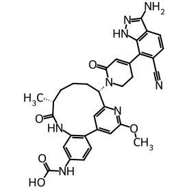 COc1cc2cc(n1)[C@@H](N1CCC(c3c(C#N)ccc4c(N)n[nH]c34)=CC1=O)CCC[C@@H](C)C(=O)Nc1cc(NC(=O)O)ccc1-2